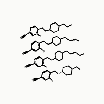 CCCC1CCC(CCc2ccc(C#N)cc2F)CC1.CCCCC1CCC(CCc2ccc(C#N)cc2F)CC1.CCCCCC1CCC(CCc2ccc(C#N)cc2F)CC1.CC[C@H]1CC[C@H](CCc2ccc(C#N)cc2F)CC1